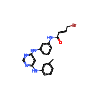 Cc1cccc(Nc2cc(Nc3cccc(NC(=O)C=CCBr)c3)ncn2)c1